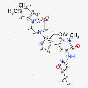 CC(=O)OCc1c(-c2cc(Nc3cc(C4CC4)on3)c(=O)n(C)c2)ccnc1N1CCn2c(cc3c2CC(C)(C)C3)C(=O)C1